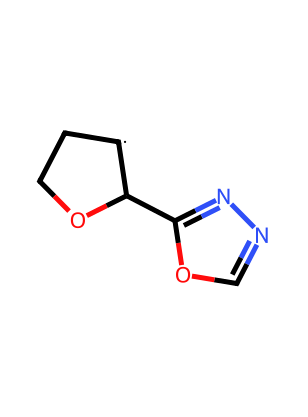 [CH]1CCOC1c1nnco1